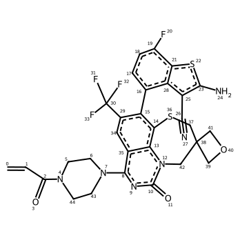 C=CC(=O)N1CCN(c2nc(=O)n3c4c(c(-c5ccc(F)c6sc(N)c(C#N)c56)c(C(F)(F)F)cc24)SCC2(COC2)C3)CC1